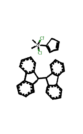 [CH3][Zr]([CH3])([Cl])([Cl])[C]1=CC=CC1.c1ccc2c(c1)-c1ccccc1C2C1c2ccccc2-c2ccccc21